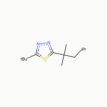 CC(C)CC(C)(C)c1nnc(C(C)(C)C)s1